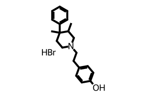 Br.CC1CN(CCc2ccc(O)cc2)CCC1(C)c1ccccc1